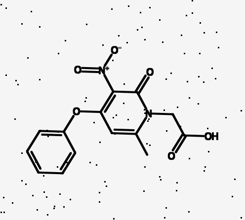 Cc1cc(Oc2ccccc2)c([N+](=O)[O-])c(=O)n1CC(=O)O